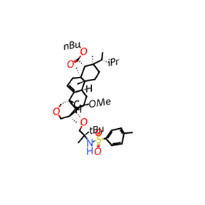 CCCCOC(=O)[C@@H]1[C@@](C)([C@H](C)C(C)C)CC[C@]2(C)[C@H]3CC[C@@H]4[C@@]5(COC[C@]4(C)[C@@H](OC[C@@](C)(NS(=O)(=O)c4ccc(C)cc4)C(C)(C)C)[C@H](OC)C5)C3=CC[C@@]12C